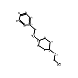 ClCOC1C[CH]C(OCc2ccccc2)CC1